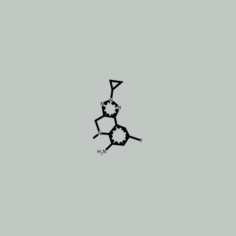 CN1Cc2nn(C3CC3)nc2-c2cc(F)cc(N)c21